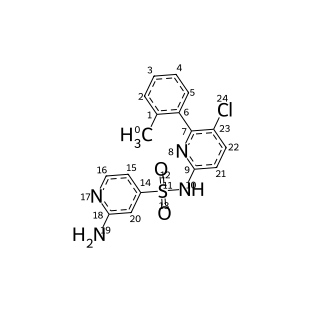 Cc1ccccc1-c1nc(NS(=O)(=O)c2ccnc(N)c2)ccc1Cl